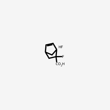 F.O=C(O)C1(F)CC2C=CC1C2